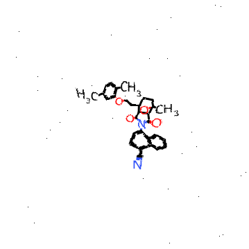 Cc1ccc(C)c(OCCC23CCC(C)(O2)C2C(=O)N(c4ccc(C#N)c5ccccc45)C(=O)C23)c1